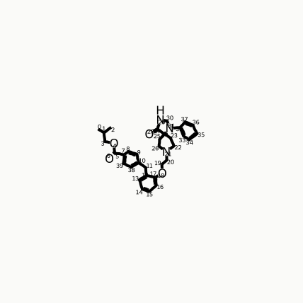 CC(C)COC(=O)c1ccc(Cc2ccccc2OCCN2CCC3(CC2)C(=O)NCN3c2ccccc2)cc1